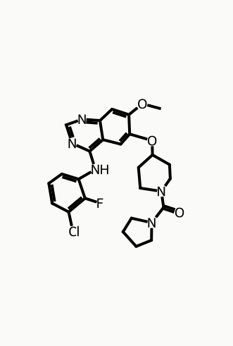 COc1cc2ncnc(Nc3cccc(Cl)c3F)c2cc1OC1CCN(C(=O)N2CCCC2)CC1